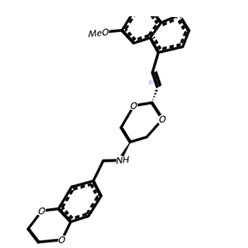 COc1ccc2nccc(/C=C/[C@H]3OC[C@H](NCc4ccc5c(c4)OCCO5)CO3)c2c1